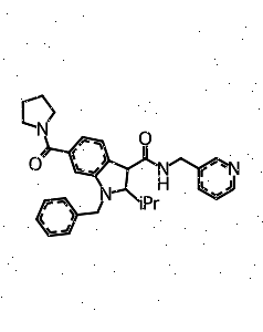 CC(C)C1C(C(=O)NCc2cccnc2)c2ccc(C(=O)N3CCCC3)cc2N1Cc1ccccc1